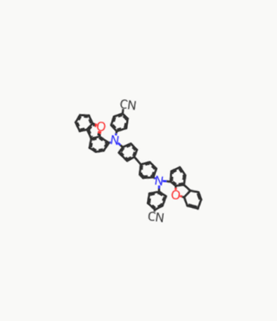 N#Cc1ccc(N(c2ccc(-c3ccc(N(c4ccc(C#N)cc4)c4cccc5c4oc4ccccc45)cc3)cc2)c2cccc3c2OC2C=CC=CC32)cc1